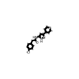 O=C(Cc1ccc(Cl)cc1)Nc1cc(-c2ccncc2)n[nH]1